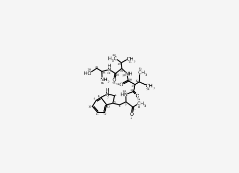 CC(=O)C(CC1CNc2ccccc21)NC(=O)C(C(=O)NC(C(=O)NC(N)CO)C(C)C)C(C)C